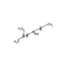 CC/C=C\CCCCOC(CCC(=O)OCCCCCCN(CCO)CCCCCCCC(=O)OCCCCCCCCC)OCCCC/C=C\CC